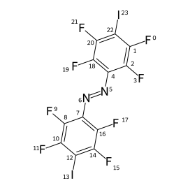 Fc1c(F)c(N=Nc2c(F)c(F)c(I)c(F)c2F)c(F)c(F)c1I